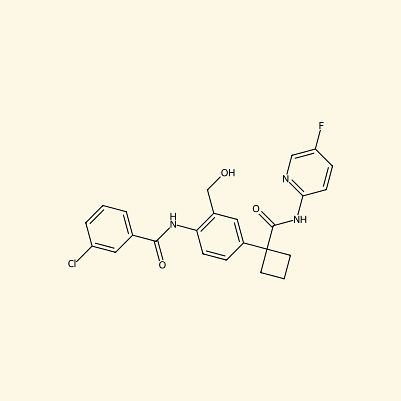 O=C(Nc1ccc(C2(C(=O)Nc3ccc(F)cn3)CCC2)cc1CO)c1cccc(Cl)c1